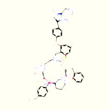 C[C@H]1C(=O)N[C@@H](CO)C(=O)N(C)[C@@]2(Cc3ccc(Cl)cc3)CCCN(C2)C(=O)[C@H](Cc2ccccc2)CC(=O)N1Cc1c(F)cc(Cl)cc1Oc1ccc(-c2cnc(CN(C)C)n2C)cc1